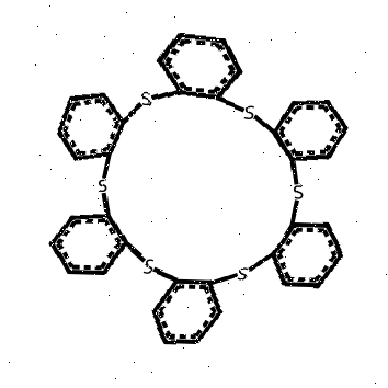 c1ccc2c(c1)Sc1ccccc1Sc1ccccc1Sc1ccccc1Sc1ccccc1Sc1ccccc1S2